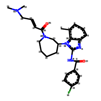 Cc1cccc2nc(NC(=O)c3ccc(F)cc3)n(C3CCCCN(C(=O)/C=C/CN(C)C)C3)c12